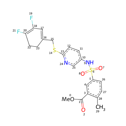 COC(=O)c1cc(S(=O)(=O)Nc2ccc(SCC3=CC(F)=C(F)CC3)nc2)ccc1C